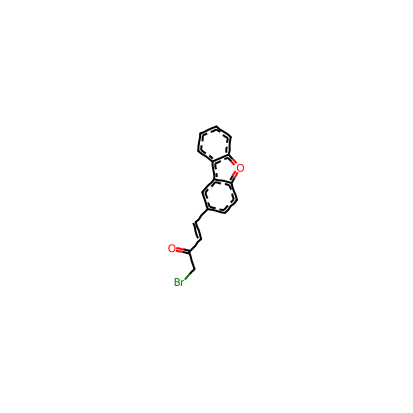 O=C(/C=C/c1ccc2oc3ccccc3c2c1)CBr